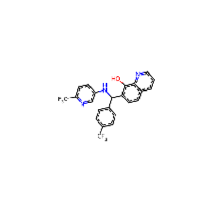 Oc1c(C(Nc2ccc(C(F)(F)F)nc2)c2ccc(C(F)(F)F)cc2)ccc2cccnc12